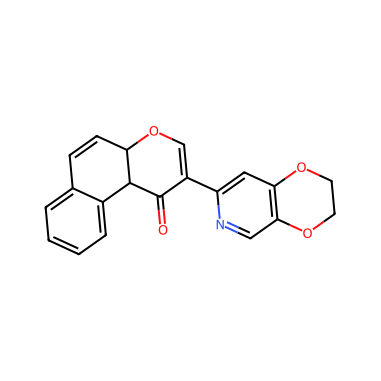 O=C1C(c2cc3c(cn2)OCCO3)=COC2C=Cc3ccccc3C12